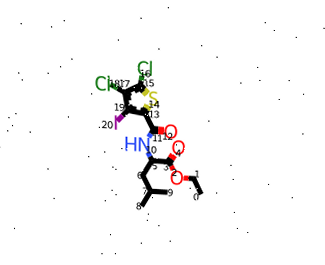 CCOC(=O)C(CC(C)C)NC(=O)c1sc(Cl)c(Cl)c1I